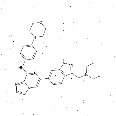 CCN(CC)Cc1n[nH]c2cc(-c3cn4ccnc4c(Nc4ccc(N5CCOCC5)cc4)n3)ccc12